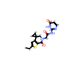 CCc1cc2c(s1)C(=O)N(CC(=O)Nc1nccc(=O)[nH]1)CC21CC1